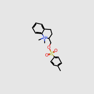 Cc1ccc(S(=O)(=O)OCC2CCc3ccccc3[N+]2(C)C)cc1